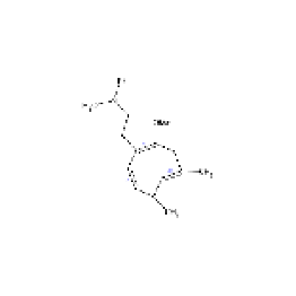 CCN(C)CCC1=C(\OC)C/C(C)=C/C(C)/C=C\1